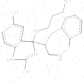 Cc1ccc2c(c1)C(NCCCN)(C1CNSc3ccccc3C1)N=C(O)N2